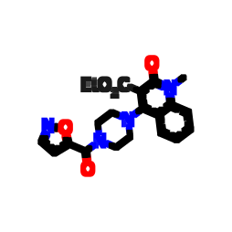 CCOC(=O)c1c(N2CCN(C(=O)c3ccno3)CC2)c2ccccc2n(C)c1=O